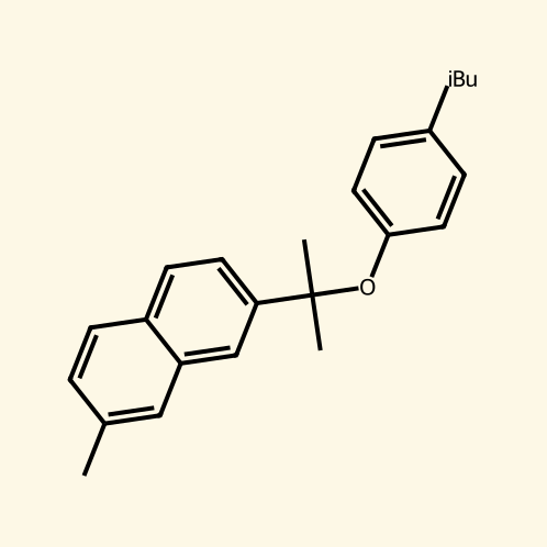 CCC(C)c1ccc(OC(C)(C)c2ccc3ccc(C)cc3c2)cc1